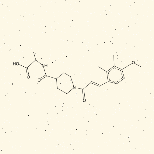 COc1ccc(C=CC(=O)N2CCC(C(=O)NC(C)C(=O)O)CC2)c(C)c1C